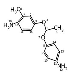 Cc1cc(OC(C)Oc2ccc(N)cc2)ccc1N